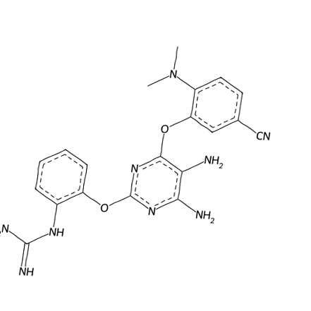 CN(C)c1ccc(C#N)cc1Oc1nc(Oc2ccccc2NC(=N)N)nc(N)c1N